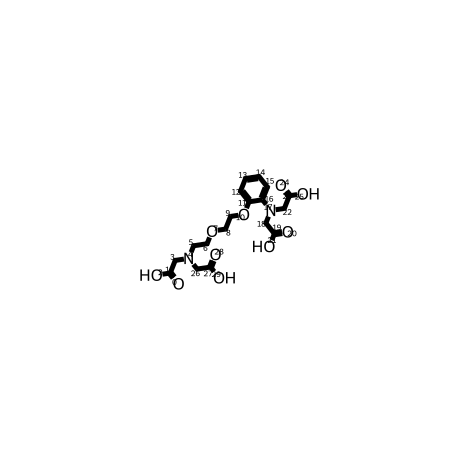 O=C(O)CN(CCOCCOc1ccccc1N(CC(=O)O)CC(=O)O)CC(=O)O